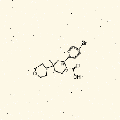 CC1(N2CCOCC2)CC[C@@H](C(=O)O)[C@H](c2ccc(Br)cc2)C1